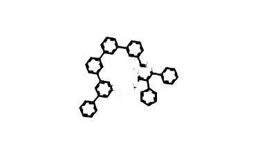 C[Si]1(C)c2ccccc2-c2c(-c3ccccc3)nc(-c3cccc(-c4cccc(-c5cccc(-c6cccc(-c7ccccc7)c6)c5)c4)c3)nc21